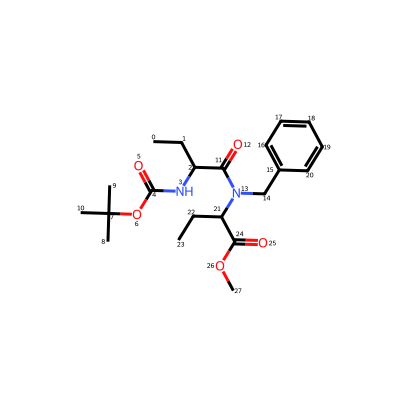 CCC(NC(=O)OC(C)(C)C)C(=O)N(Cc1ccccc1)C(CC)C(=O)OC